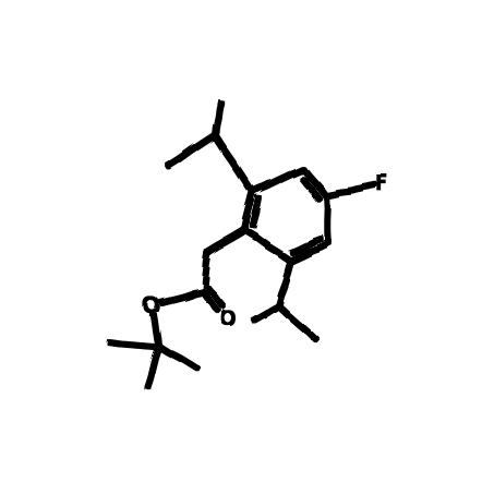 CC(C)c1cc(F)cc(C(C)C)c1CC(=O)OC(C)(C)C